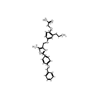 CCCc1cc(SCc2nc(-c3ccc(OCc4ccccc4)cc3)oc2C)ccc1OCC(=O)O